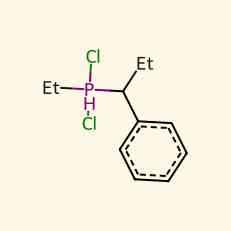 CCC(c1ccccc1)[PH](Cl)(Cl)CC